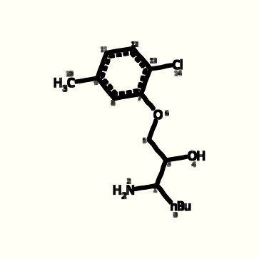 CCCCC(N)C(O)COc1cc(C)ccc1Cl